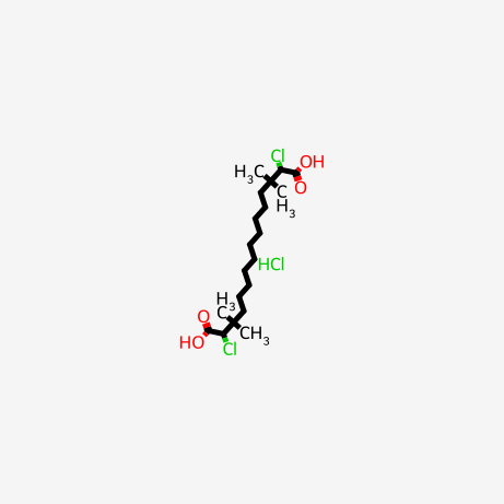 CC(C)(CCCCCCCCCCC(C)(C)C(Cl)C(=O)O)C(Cl)C(=O)O.Cl